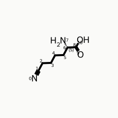 N#CCCCC[C@H](N)C(=O)O